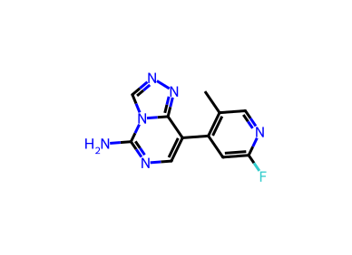 Cc1cnc(F)cc1-c1cnc(N)n2cnnc12